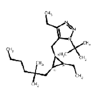 CCCCC(C)(C)C[C@@H]1[C@H](CC)[C@@H]1Cc1c(CC)nnn1C(C)(C)C